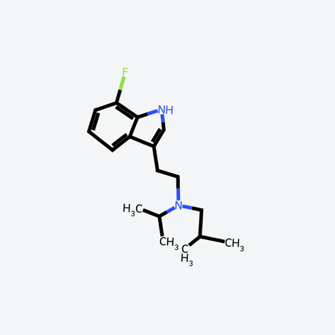 CC(C)CN(CCc1c[nH]c2c(F)cccc12)C(C)C